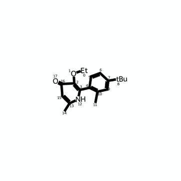 CCOc1c(-c2ccc(C(C)(C)C)cc2C)[nH]c(C)cc1=O